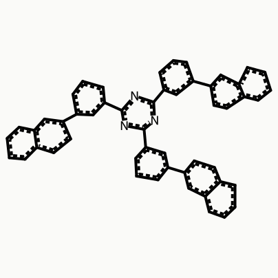 c1cc(-c2ccc3ccccc3c2)cc(-c2nc(-c3cccc(-c4ccc5ccccc5c4)c3)nc(-c3cccc(-c4ccc5ccccc5c4)c3)n2)c1